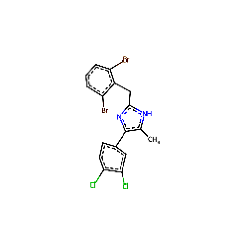 Cc1[nH]c(Cc2c(Br)cccc2Br)nc1-c1ccc(Cl)c(Cl)c1